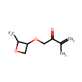 C=C(C)C(=O)COC1COC1C(F)(F)F